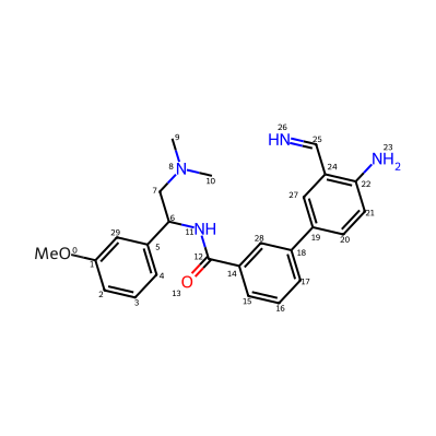 COc1cccc(C(CN(C)C)NC(=O)c2cccc(-c3ccc(N)c(C=N)c3)c2)c1